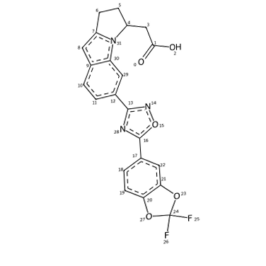 O=C(O)CC1CCc2cc3ccc(-c4noc(-c5ccc6c(c5)OC(F)(F)O6)n4)cc3n21